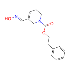 O=C(OCCc1ccccc1)N1CCC=C(C=NO)C1